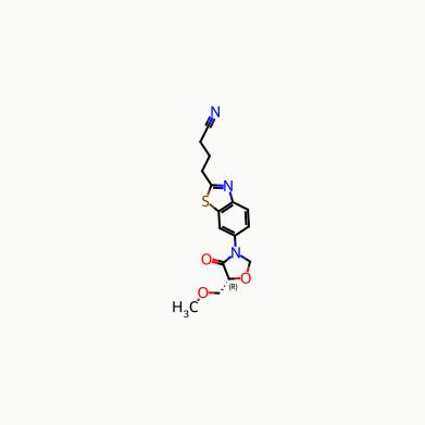 COC[C@H]1OCN(c2ccc3nc(CCCC#N)sc3c2)C1=O